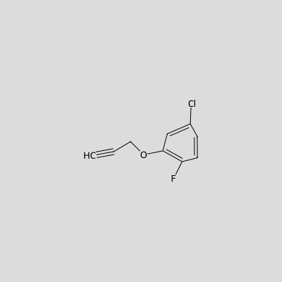 C#CCOc1cc(Cl)ccc1F